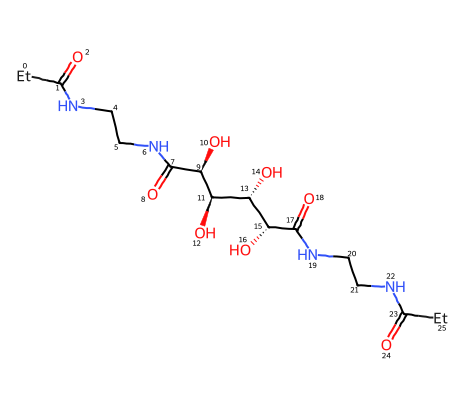 CCC(=O)NCCNC(=O)[C@@H](O)[C@H](O)[C@H](O)[C@@H](O)C(=O)NCCNC(=O)CC